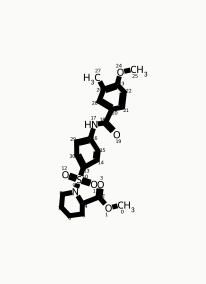 COC(=O)C1CCCCN1S(=O)(=O)c1ccc(NC(=O)c2ccc(OC)c(C)c2)cc1